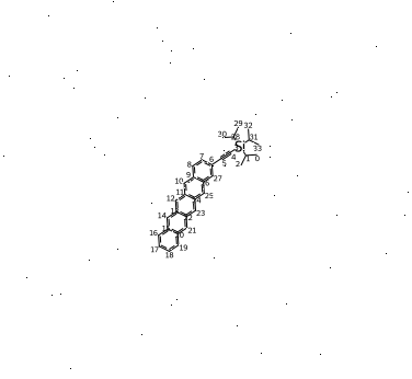 CC(C)[Si](C#Cc1ccc2cc3cc4cc5ccccc5cc4cc3cc2c1)(C(C)C)C(C)C